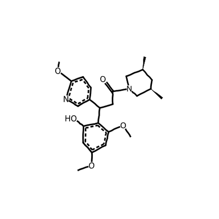 COc1cc(O)c(C(CC(=O)N2C[C@H](C)C[C@H](C)C2)c2ccc(OC)nc2)c(OC)c1